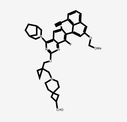 C#Cc1cccc2cc(OCOC)cc(-c3c(F)cc4c(N5CC6CCC(C6)C5)nc(OCC5(CN6CCC7(CC6)CC(C=O)C7)CC5)nc4c3F)c12